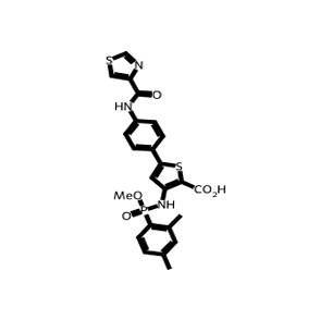 COP(=O)(Nc1cc(-c2ccc(NC(=O)c3cscn3)cc2)sc1C(=O)O)c1ccc(C)cc1C